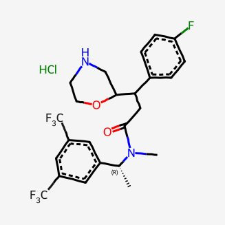 C[C@H](c1cc(C(F)(F)F)cc(C(F)(F)F)c1)N(C)C(=O)CC(c1ccc(F)cc1)C1CNCCO1.Cl